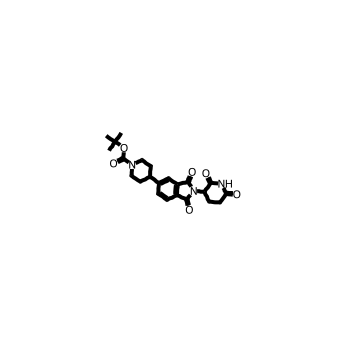 CC(C)(C)OC(=O)N1CCC(c2ccc3c(c2)C(=O)N(C2CCC(=O)NC2=O)C3=O)CC1